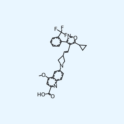 COc1cc(C(=O)O)nc2ccc(N3CC(C=Cc4c(-c5ccccc5C(F)(F)F)noc4C4CC4)C3)cc12